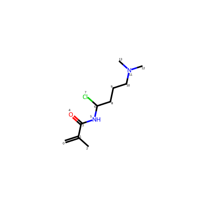 C=C(C)C(=O)NC(Cl)CCCN(C)C